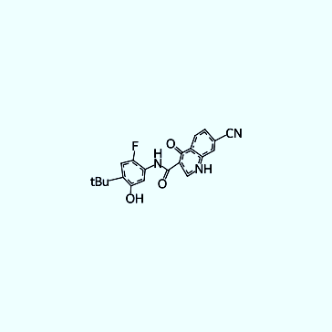 CC(C)(C)c1cc(F)c(NC(=O)c2c[nH]c3cc(C#N)ccc3c2=O)cc1O